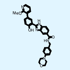 COc1ncccc1-c1ccc(O)c(-c2nc3cc(C(=O)NCc4ccc(N5CCOCC5)cc4)ccc3[nH]2)c1